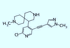 CN1CCC2(CCNCC2c2cc(Cl)ncc2C#Cc2cnn(C)c2)CC1